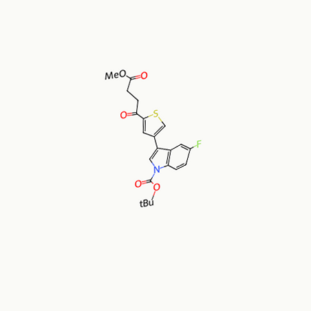 COC(=O)CCC(=O)c1cc(-c2cn(C(=O)OC(C)(C)C)c3ccc(F)cc23)cs1